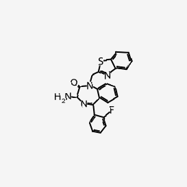 NC1N=C(c2ccccc2F)c2ccccc2N(Cc2nc3ccccc3s2)C1=O